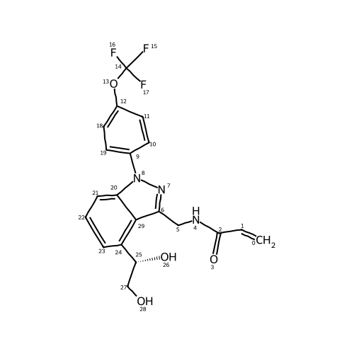 C=CC(=O)NCc1nn(-c2ccc(OC(F)(F)F)cc2)c2cccc([C@H](O)CO)c12